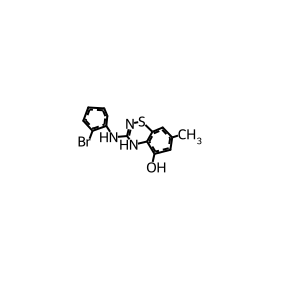 Cc1cc(O)c2c(c1)SN=C(Nc1ccccc1Br)N2